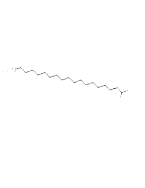 CC(O)CCCCCCCCCCCCCCCCC[N+](=O)[O-]